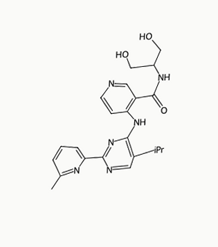 Cc1cccc(-c2ncc(C(C)C)c(Nc3ccncc3C(=O)NC(CO)CO)n2)n1